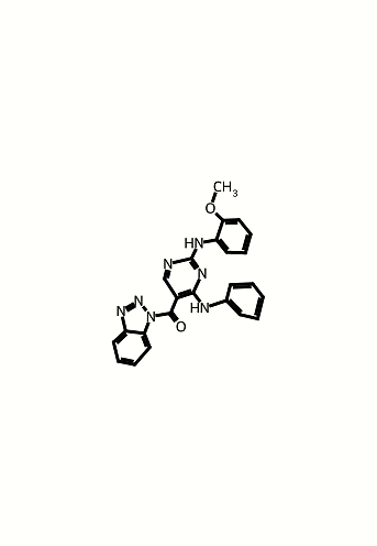 COc1ccccc1Nc1ncc(C(=O)n2nnc3ccccc32)c(Nc2ccccc2)n1